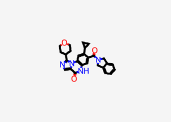 O=C(c1cc2[nH]c(=O)c3cnc(C4CCOCC4)n3c2cc1C1CC1)N1Cc2ccccc2C1